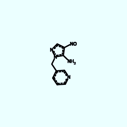 Nc1c(N=O)cnn1Cc1cccnc1